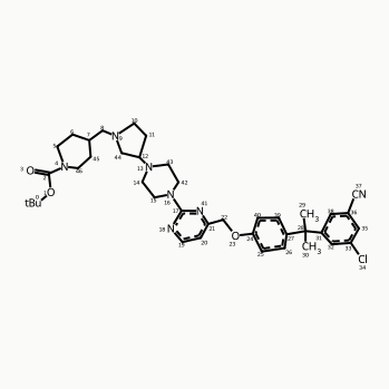 CC(C)(C)OC(=O)N1CCC(CN2CCC(N3CCN(c4nccc(COc5ccc(C(C)(C)c6cc(Cl)cc(C#N)c6)cc5)n4)CC3)C2)CC1